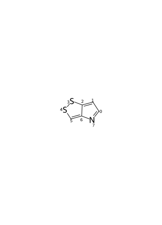 c1cc2sscc-2n1